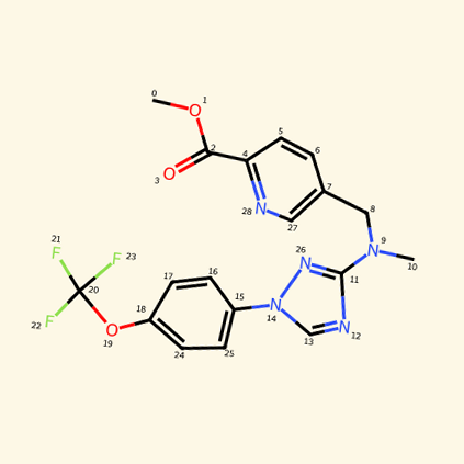 COC(=O)c1ccc(CN(C)c2ncn(-c3ccc(OC(F)(F)F)cc3)n2)cn1